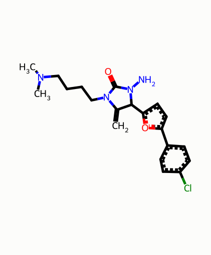 C=C1C(c2ccc(-c3ccc(Cl)cc3)o2)N(N)C(=O)N1CCCCN(C)C